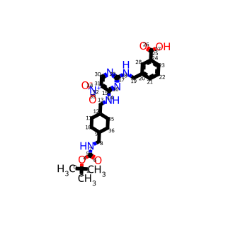 CC(C)(C)OC(=O)NCC1CCC(CNc2nc(NCc3cccc(C(=O)O)c3)ncc2[N+](=O)[O-])CC1